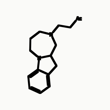 CC(=O)CCN1CCCN2c3ccccc3CC2C1